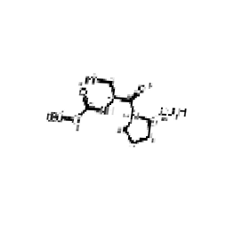 CC(C)CC(NC(=O)OC(C)(C)C)C(=O)N1CCC[C@H]1C(=O)O